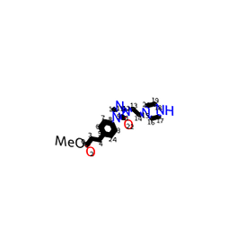 COC(=O)CCc1ccc(-n2cnn(CCN3CCNCC3)c2=O)cc1